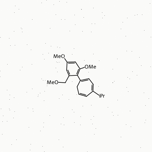 COCc1cc(OC)cc(OC)c1C1=CC=C(C(C)C)C=CC1